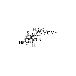 COCCC(=O)N1CCN(c2nc(C3CC3)c(-c3ccc(C#N)cc3)c(C)c2C#N)C[C@H]1C